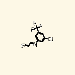 FC(F)(F)c1cc(Cl)cc(N=CC=S)c1